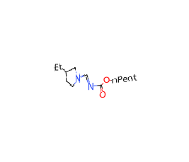 C[CH]C1CCN(C=NC(=O)OCCCCC)C1